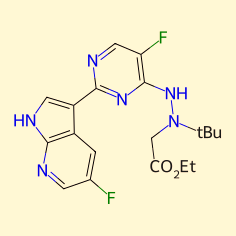 CCOC(=O)CN(Nc1nc(-c2c[nH]c3ncc(F)cc23)ncc1F)C(C)(C)C